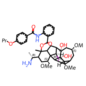 CCCOc1ccc(C(=O)Nc2ccccc2C(=O)OC2(C)C([C@@H](C)N)C[C@H](OC)C34C2CC([C@H]3I)[C@@]2(O)C[C@@H](OC)CC3CC4[C@]2(O)[C@H]3OC)cc1